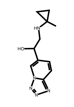 CC1(NCC(O)c2ccc3nnnn3c2)CC1